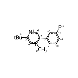 Cc1cc(C(C)(C)C)ncc1-c1cccc(F)c1